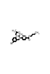 C=C(Cl)COc1ccc(Br)cc1CN(CC)c1ccc(C(=O)OCCCC)nn1